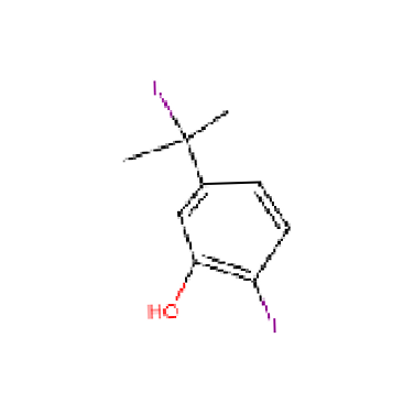 CC(C)(I)c1ccc(I)c(O)c1